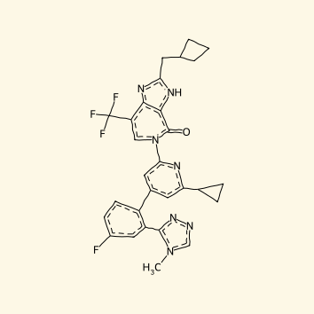 Cn1cnnc1-c1cc(F)ccc1-c1cc(C2CC2)nc(-n2cc(C(F)(F)F)c3nc(CC4CCC4)[nH]c3c2=O)c1